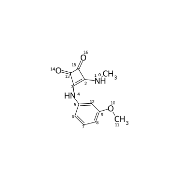 CNc1c(Nc2cccc(OC)c2)c(=O)c1=O